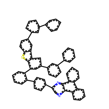 c1ccc(-c2cccc(-c3ccc4sc5c(-c6ccccc6-c6ccc(-c7cnc8c9ccccc9c9ccccc9c8n7)cc6)cc(-c6cccc(-c7ccccc7)c6)cc5c4c3)c2)cc1